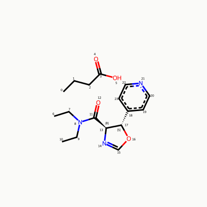 CCCC(=O)O.CCN(CC)C(=O)[C@@H]1N=CO[C@H]1c1ccncc1